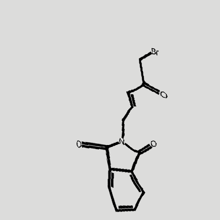 O=C(C=CCN1C(=O)c2ccccc2C1=O)CBr